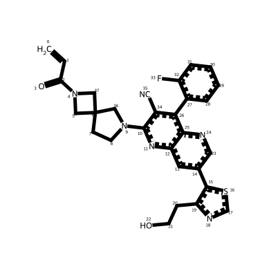 C=CC(=O)N1CC2(CCN(c3nc4cc(-c5scnc5CCO)cnc4c(-c4ccccc4F)c3C#N)C2)C1